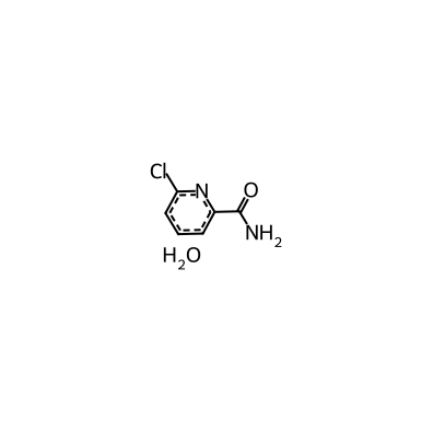 NC(=O)c1cccc(Cl)n1.O